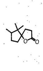 CC1CCC2(CCC(=O)O2)C1(C)C